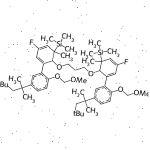 COCOc1ccc(C(C)(C)CC(C)(C)C)cc1C1=CC(F)=CC(C)([Si](C)(C)C)C1OCCCOC1C(c2cc(C(C)(C)CC(C)(C)C)ccc2OCOC)=CC(F)=CC1(C)[Si](C)(C)C